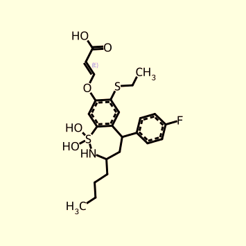 CCCCC1CC(c2ccc(F)cc2)c2cc(SCC)c(O/C=C/C(=O)O)cc2S(O)(O)N1